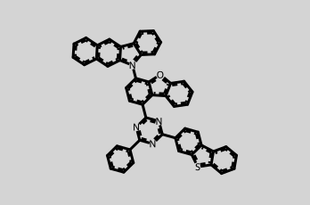 c1ccc(-c2nc(-c3ccc4c(c3)sc3ccccc34)nc(-c3ccc(-n4c5ccccc5c5cc6ccccc6cc54)c4oc5ccccc5c34)n2)cc1